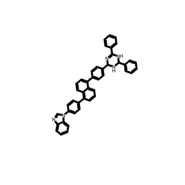 c1ccc(C2=NC(c3ccc(-c4cccc5c(-c6ccc(-n7cnc8ccccc87)cc6)cccc45)cc3)NC(c3ccccc3)N2)cc1